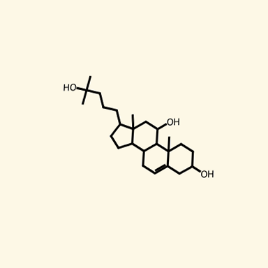 CC(C)(O)CCCC1CCC2C3CC=C4CC(O)CCC4(C)C3C(O)CC12C